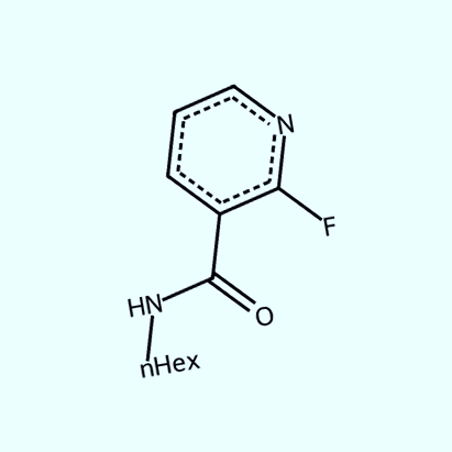 CCCCCCNC(=O)c1cccnc1F